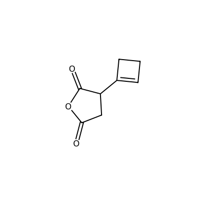 O=C1CC(C2=CCC2)C(=O)O1